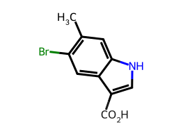 Cc1cc2[nH]cc(C(=O)O)c2cc1Br